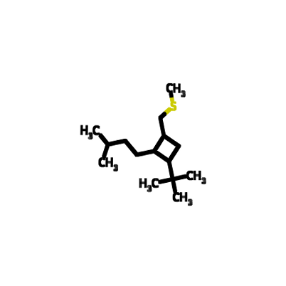 CSCC1CC(C(C)(C)C)C1CCC(C)C